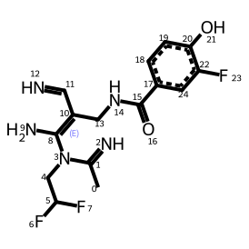 CC(=N)N(CC(F)F)/C(N)=C(/C=N)CNC(=O)c1ccc(O)c(F)c1